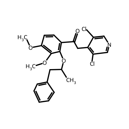 COc1ccc(C(=O)Cc2c(Cl)cncc2Cl)c(OC(C)Cc2ccccc2)c1OC